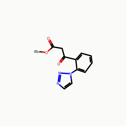 CC(C)(C)OC(=O)CC(=O)c1ccccc1-n1ccnn1